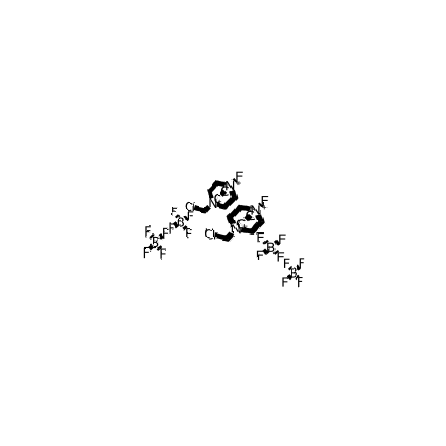 F[B-](F)(F)F.F[B-](F)(F)F.F[B-](F)(F)F.F[B-](F)(F)F.F[N+]12CC[N+](CCl)(CC1)CC2.F[N+]12CC[N+](CCl)(CC1)CC2